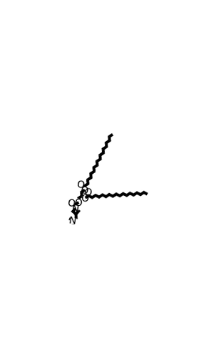 CCCCCCCCCCCCCCCCCC(=O)OCC(COC(=O)N1CC(CN(C)C)C1)OC(=O)CCCCCCCCCCCCCCCCC